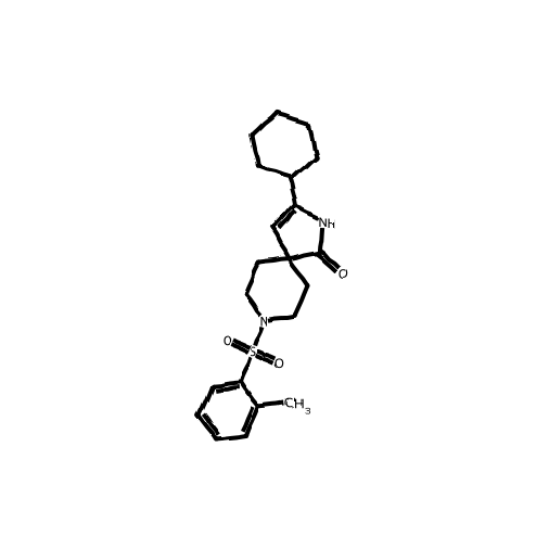 Cc1ccccc1S(=O)(=O)N1CCC2(C=C(C3CCCCC3)NC2=O)CC1